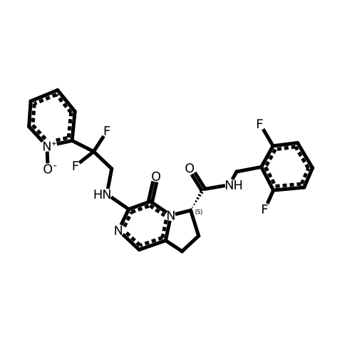 O=C(NCc1c(F)cccc1F)[C@@H]1CCc2cnc(NCC(F)(F)c3cccc[n+]3[O-])c(=O)n21